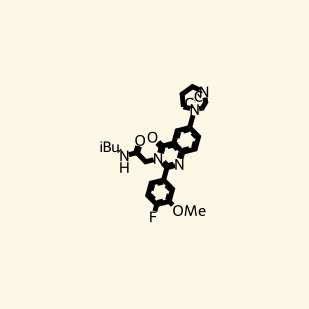 CCC(C)NC(=O)Cn1c(-c2ccc(F)c(OC)c2)nc2ccc(N3CCN4CCC3CC4)cc2c1=O